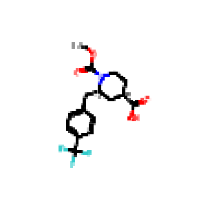 COC(=O)N1CC[C@@H](C(=O)O)C[C@H]1Cc1ccc(C(F)(F)F)cc1